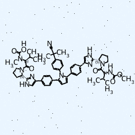 COC(=O)N[C@H](C(=O)N1CCC[C@H]1c1nc(-c2ccc(-c3ccc(-c4ccc(-c5c[nH]c([C@@H]6CCCN6C(=O)[C@H](C(C)C)N(C)C(=O)O)n5)cc4)n3-c3ccc(C(C)(C)C#N)cc3)cc2)c[nH]1)C(C)C